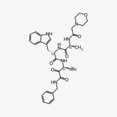 CCCC[C@H](NC(=O)[C@H](Cc1c[nH]c2ccccc12)NC(=O)[C@H](C)NC(=O)CN1CCOCC1)C(=O)C(=O)NCc1ccccc1